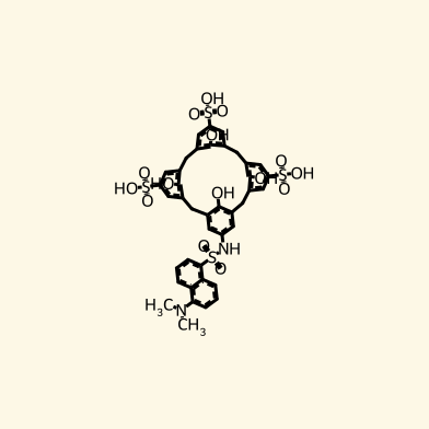 CN(C)c1cccc2c(S(=O)(=O)Nc3cc4c(O)c(c3)Cc3cc(S(=O)(=O)O)cc(c3O)Cc3cc(S(=O)(=O)O)cc(c3O)Cc3cc(S(=O)(=O)O)cc(c3O)C4)cccc12